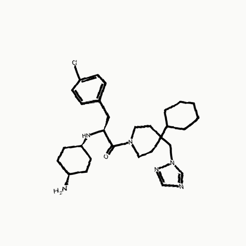 N[C@H]1CC[C@@H](N[C@@H](Cc2ccc(Cl)cc2)C(=O)N2CCC(Cn3cncn3)(C3CCCCC3)CC2)CC1